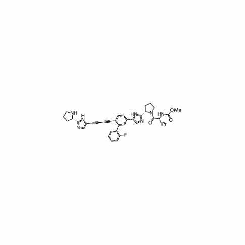 COC(=O)N[C@H](C(=O)N1CCC[C@H]1c1ncc(-c2ccc(C#CC#Cc3cnc([C@@H]4CCCN4)[nH]3)c(-c3ccccc3F)c2)[nH]1)C(C)C